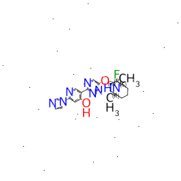 C[C@]12CCC[C@](C)(N1)[C@@H](F)[C@H](Oc1cnc(-c3cnc(-n4ccnc4)cc3O)nn1)C2